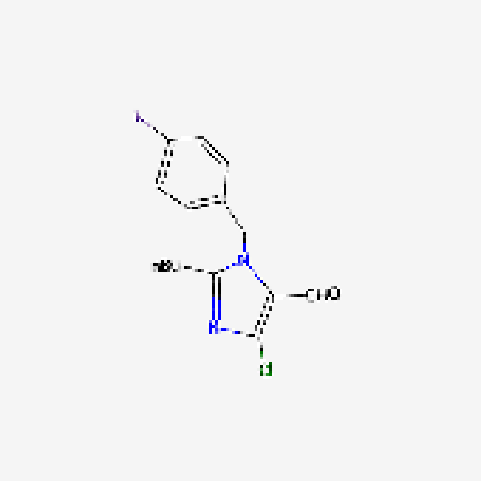 CCCCc1nc(Cl)c(C=O)n1Cc1ccc(I)cc1